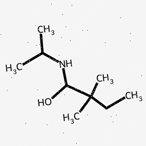 CCC(C)(C)C(O)NC(C)C